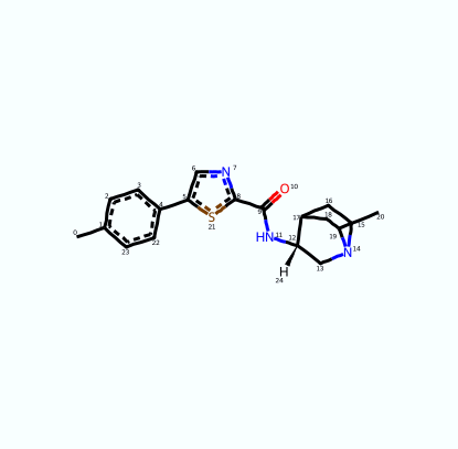 Cc1ccc(-c2cnc(C(=O)N[C@H]3CN4CCC3CC4C)s2)cc1